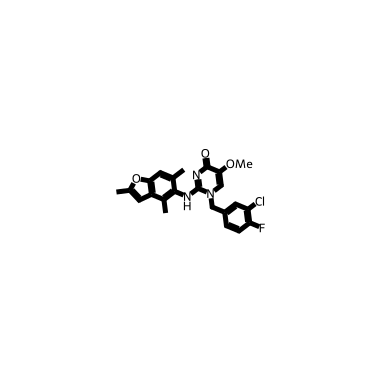 COc1cn(Cc2ccc(F)c(Cl)c2)c(Nc2c(C)cc3oc(C)cc3c2C)nc1=O